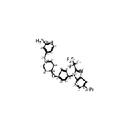 CCCc1cnc2c(c1)nc(C(F)(F)C(F)(F)F)n2-c1ccc(OC2CCN(Cc3ccnc(N)c3)CC2)cc1